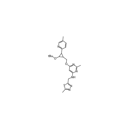 Cc1ccc(C2C(COc3cc(NCc4nnc(C)s4)nc(C)n3)C2OC(C)(C)C)nc1